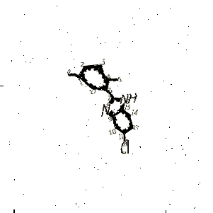 Cc1ccc(C)c(-c2nc3cc(Cl)ccc3[nH]2)c1